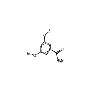 CCOc1cc(OCC)cc(C(=O)NC)c1